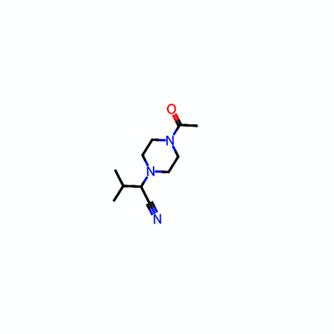 CC(=O)N1CCN(C(C#N)C(C)C)CC1